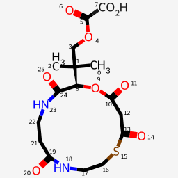 CC(C)(COC(=O)C(=O)O)[C@H]1OC(=O)CC(=O)SCCNC(=O)CCNC1=O